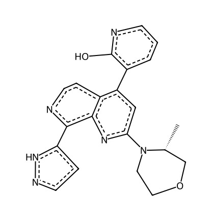 C[C@@H]1COCCN1c1cc(-c2cccnc2O)c2ccnc(-c3ccn[nH]3)c2n1